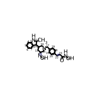 CC1Nc2ccccc2C1C1C/C(=N/O)CN(Cc2ccc(/C=C/C(=O)NO)cc2)C1